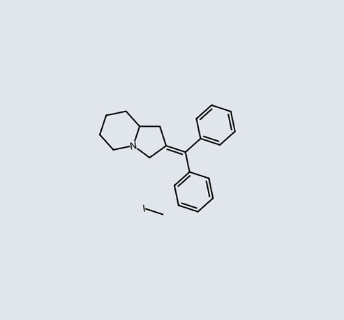 CI.c1ccc(C(=C2CC3CCCCN3C2)c2ccccc2)cc1